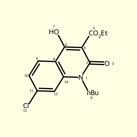 CCCCn1c(=O)c(C(=O)OCC)c(O)c2ccc(Cl)cc21